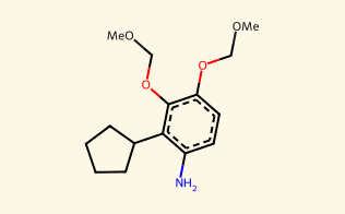 COCOc1ccc(N)c(C2CCCC2)c1OCOC